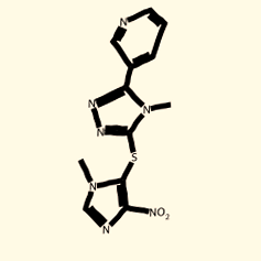 Cn1cnc([N+](=O)[O-])c1Sc1nnc(-c2cccnc2)n1C